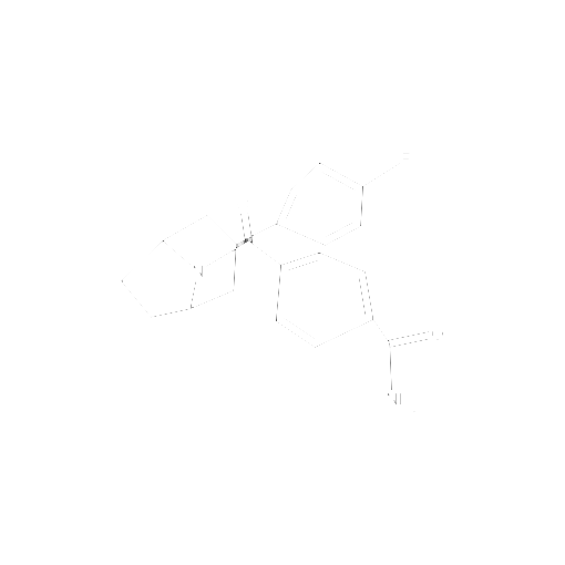 NC(=O)c1ccc(C(=O)N2C3CCC2CC(c2ccc(F)cc2)C3)cc1